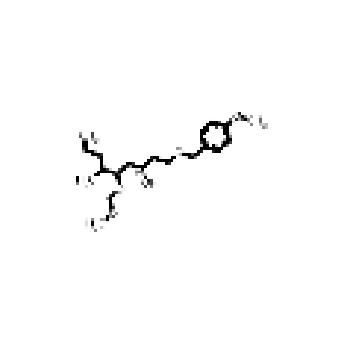 C=CCC(C)C(C[C@H](O)CCOCc1ccc(OC)cc1)OCOC